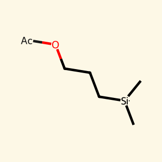 CC(=O)OCCC[Si](C)C